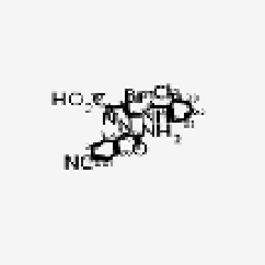 N#Cc1ccc(C(C(N)=O)n2nc(C(=O)O)c(Br)c2NC(=O)c2ccccc2Cl)cc1